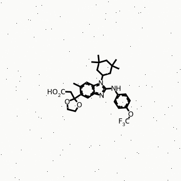 Cc1cc2c(cc1C1(CC(=O)O)OCCO1)nc(Nc1ccc(OC(F)(F)F)cc1)n2C1CC(C)(C)CC(C)(C)C1